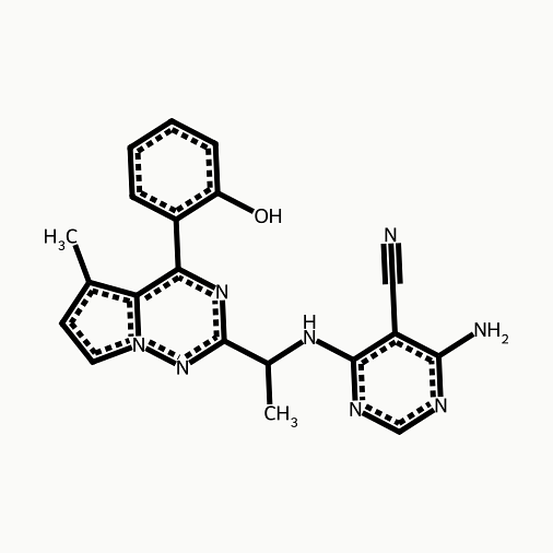 Cc1ccn2nc(C(C)Nc3ncnc(N)c3C#N)nc(-c3ccccc3O)c12